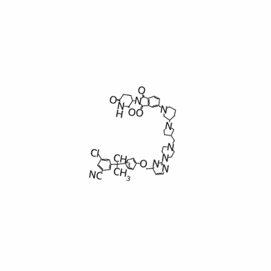 CC(C)(c1ccc(OCc2ccnc(N3CCN(CC4CCN(C5CCCN(c6ccc7c(c6)C(=O)N(C6CCC(=O)NC6=O)C7=O)C5)C4)CC3)n2)cc1)c1cc(Cl)cc(C#N)c1